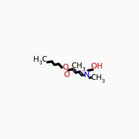 CCCCCCOC(=O)/C(C)=C/C=C/N(CC)CCO